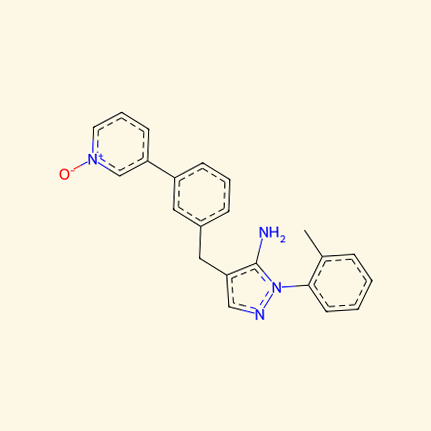 Cc1ccccc1-n1ncc(Cc2cccc(-c3ccc[n+]([O-])c3)c2)c1N